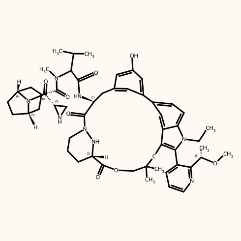 CCn1c(-c2cccnc2[C@H](C)OC)c2c3cc(ccc31)-c1cc(O)cc(c1)C[C@H](NC(=O)C(C(C)C)N(C)C(=O)[C@H]1C[C@H]3CC[C@@H](C1)N3C(=O)[C@@H]1CN1)C(=O)N1CCC[C@H](N1)C(=O)OCC(C)(C)C2